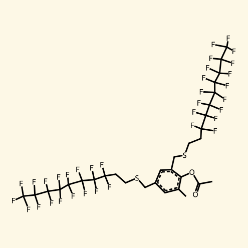 CC(=O)Oc1c(C)cc(CSCCC(F)(F)C(F)(F)C(F)(F)C(F)(F)C(F)(F)C(F)(F)C(F)(F)C(F)(F)F)cc1CSCCC(F)(F)C(F)(F)C(F)(F)C(F)(F)C(F)(F)C(F)(F)C(F)(F)C(F)(F)F